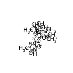 CCCOP(O[C@@H]1C[C@H](n2cc(C)c(=O)[nH]c2=O)O[C@@H]1COC(C)(C)C)N(C(C)C)C(C)C